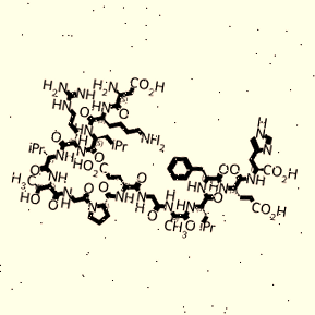 CC(C)C[C@H](NC(=O)[C@H](C)NC(=O)CNC(=O)[C@H](CCC(=O)O)NC(=O)[C@@H]1CCCN1C(=O)CNC(=O)[C@@H](NC(=O)[C@@H](NC(=O)[C@H](CCCNC(=N)N)NC(=O)[C@H](CC(C)C)NC(=O)[C@H](CCCCN)NC(=O)[C@@H](N)CC(=O)O)C(C)C)[C@@H](C)O)C(=O)N[C@@H](Cc1ccccc1)C(=O)N[C@@H](CCC(=O)O)C(=O)N[C@@H](Cc1c[nH]cn1)C(=O)O